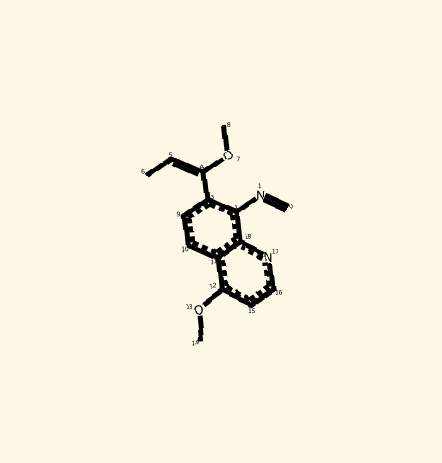 C=Nc1c(/C(=C\C)OC)ccc2c(OC)ccnc12